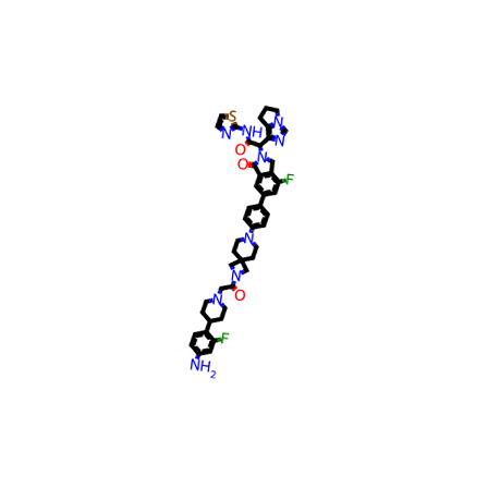 Nc1ccc(C2CCN(CC(=O)N3CC4(CCN(c5ccc(-c6cc(F)c7c(c6)C(=O)N(C(C(=O)Nc6nccs6)c6ncn8c6CCC8)C7)cc5)CC4)C3)CC2)c(F)c1